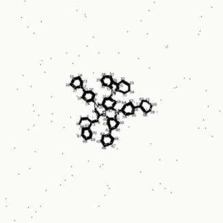 C/C=C\C(=C/C1=CN(c2ccc(-c3ccccc3)cc2)c2cc(-n3c4c(c5ccccc53)C=CCC4)cc3c2B1c1cc(-c2ccccc2)ccc1N3c1ccc(C2=CCCCC2)cc1)c1ccccc1